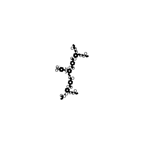 C=CC(=O)OCOCc1cc(OC(=O)C2CCC(C(=O)Oc3ccc(CCOC(=O)C4CCC(C(=O)Oc5ccc(OCOC(=O)C=C)c(OCOC(=O)C=C)c5)CC4)c4sc(-c5ccc([N+](=O)[O-])cc5)nc34)CC2)ccc1OCOC(=O)C=C